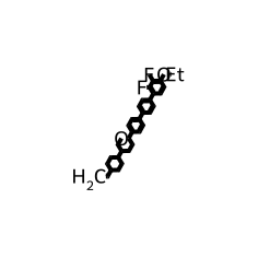 C=CC1CCC(C2CCC(c3ccc(-c4ccc(-c5ccc(OCC)c(F)c5F)cc4)cc3)OC2)CC1